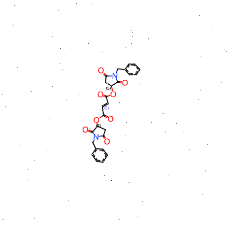 O=C(/C=C/C(=O)O[C@H]1CC(=O)N(Cc2ccccc2)C1=O)O[C@H]1CC(=O)N(Cc2ccccc2)C1=O